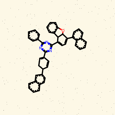 C1=CC(c2ccc3ccccc3c2)CC=C1c1nc(C2=CC=C(c3cccc4ccccc34)C3Oc4ccccc4C23)nc(-c2ccccc2)n1